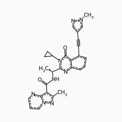 Cc1nn2cccnc2c1C(=O)N[C@@H](C)c1nc2cccc(C#Cc3cnn(C)c3)c2c(=O)n1C1CC1